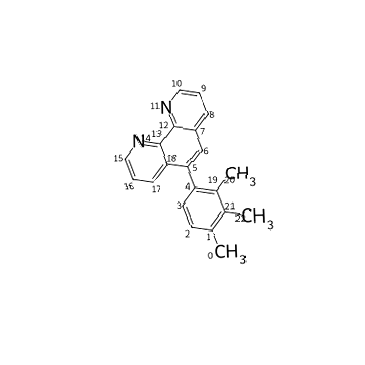 Cc1ccc(-c2cc3cccnc3c3ncccc23)c(C)c1C